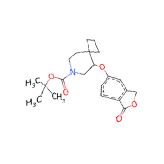 CC(C)(C)OC(=O)N1CCC2(CCC2)C(Oc2ccc3c(c2)COC3=O)C1